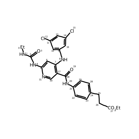 CCNC(=O)Nc1cc(Nc2cc(Cl)cc(Cl)c2)c(C(=O)Nc2ccc(CCC(=O)OCC)cc2)cn1